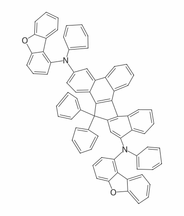 c1ccc(N(c2ccc3c4c(c5ccccc5c3c2)-c2c(cc(N(c3ccccc3)c3cccc5oc6ccccc6c35)c3ccccc23)C4(c2ccccc2)c2ccccc2)c2cccc3oc4ccccc4c23)cc1